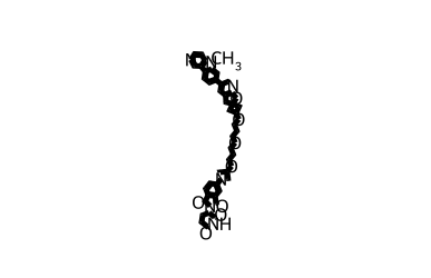 Cn1c2ccncc2c2ccc(-c3cnc4c(c3)CC3(CC(OCCCOCCCOC5CN(c6ccc7c(c6)C(=O)N(C6CCC(=O)NC6=O)C7=O)C5)C3)O4)cc21